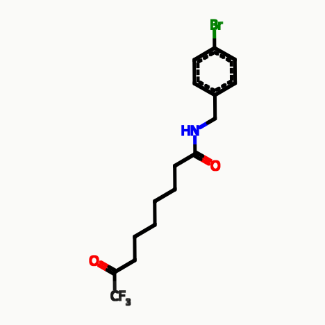 O=C(CCCCCCC(=O)C(F)(F)F)NCc1ccc(Br)cc1